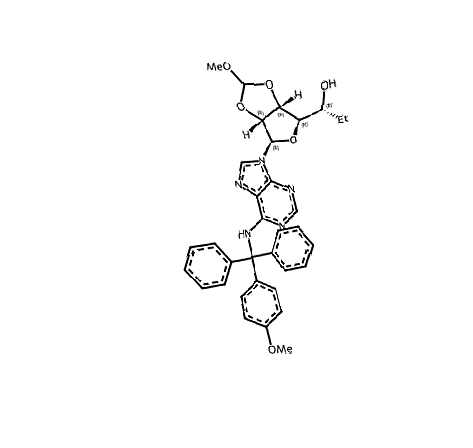 CC[C@@H](O)[C@H]1O[C@@H](n2cnc3c(NC(c4ccccc4)(c4ccccc4)c4ccc(OC)cc4)ncnc32)[C@@H]2OC(OC)O[C@@H]21